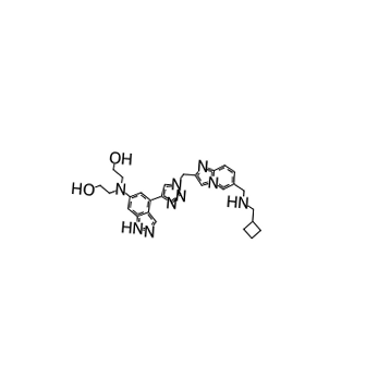 OCCN(CCO)c1cc(-c2cn(Cc3cn4cc(CNCC5CCC5)ccc4n3)nn2)c2cn[nH]c2c1